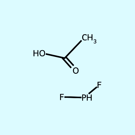 CC(=O)O.FPF